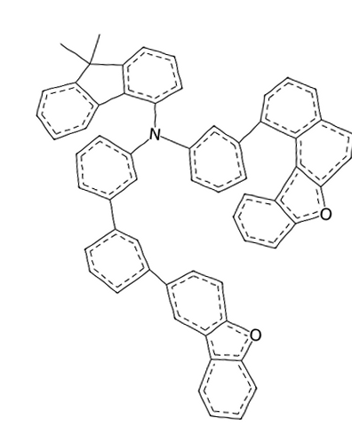 CC1(C)c2ccccc2-c2c(N(c3cccc(-c4cccc(-c5ccc6oc7ccccc7c6c5)c4)c3)c3cccc(-c4cccc5ccc6oc7ccccc7c6c45)c3)cccc21